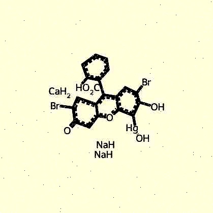 O=C(O)c1ccccc1-c1c2cc(Br)c(=O)cc-2oc2[c]([Hg][OH])c(O)c(Br)cc12.[CaH2].[NaH].[NaH]